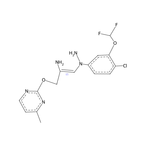 Cc1ccnc(OC/C(N)=C/N(N)c2ccc(Cl)c(OC(F)F)c2)n1